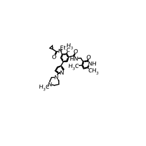 CCN(C(=O)C1CC1)c1cc(-c2ccc(N3CCCN(C)CC3)nc2)cc(C(=O)NCc2c(C)cc(C)[nH]c2=O)c1C